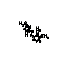 Cc1c[nH]c(CCc2cccc(C)c2C)n1